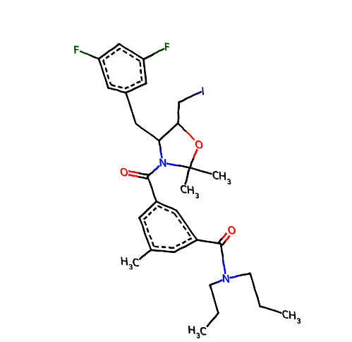 CCCN(CCC)C(=O)c1cc(C)cc(C(=O)N2C(Cc3cc(F)cc(F)c3)C(CI)OC2(C)C)c1